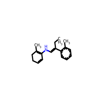 CC/C(=C\NC1=C(C)CCC=C1)c1ccccc1C